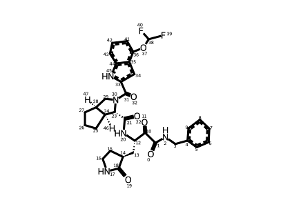 O=C(NCc1ccccc1)C(=O)[C@H](C[C@@H]1CCNC1=O)NC(=O)[C@@H]1[C@H]2CCC[C@H]2CN1C(=O)c1cc2c(OC(F)F)cccc2[nH]1